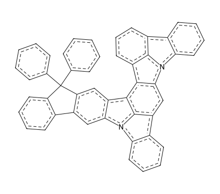 c1ccc(C2(c3ccccc3)c3ccccc3-c3cc4c(cc32)c2c3c5cccc6c7ccccc7n(c3cc3c7ccccc7n4c32)c65)cc1